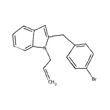 C=CCn1c(Cc2ccc(Br)cc2)cc2ccccc21